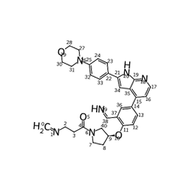 C=NCCC(=O)N1CC[C@H](Oc2ccc(-c3ccnc4[nH]c(-c5ccc(N6CCOCC6)cc5)cc34)cc2C=N)C1